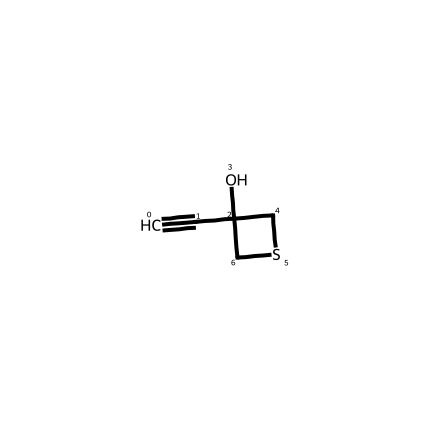 C#CC1(O)CSC1